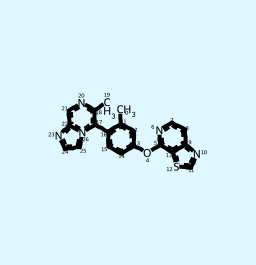 Cc1cc(Oc2nccc3ncsc23)ccc1-c1c(C)ncc2nccn12